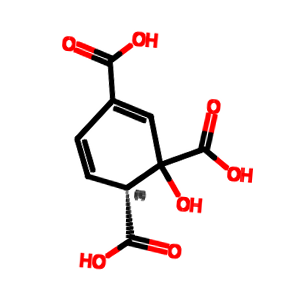 O=C(O)C1=CC(O)(C(=O)O)[C@H](C(=O)O)C=C1